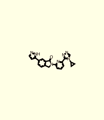 O=C1c2cc(-c3ccn[nH]3)ccc2CN1c1cccc(-c2nncn2C2CC2)n1